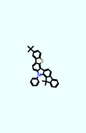 CC(C)(C)c1ccc2sc3c(ccc4c3c3ccc5c(c3n4-c3ccccc3)C(C)(C)c3ccccc3-5)c2c1